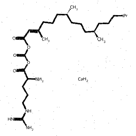 C/C(=C\C(=O)OC(=O)OC(=O)C(N)CCCNC(=N)N)CCC[C@H](C)CCC[C@H](C)CCCC(C)C.[CaH2]